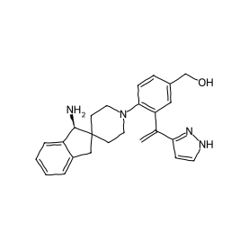 C=C(c1cc[nH]n1)c1cc(CO)ccc1N1CCC2(CC1)Cc1ccccc1[C@H]2N